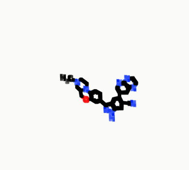 CN1CCN2c3ccc(-c4n[nH]c5cc(C#N)c(-c6cnc7nccnc7c6)cc45)cc3OCC2C1